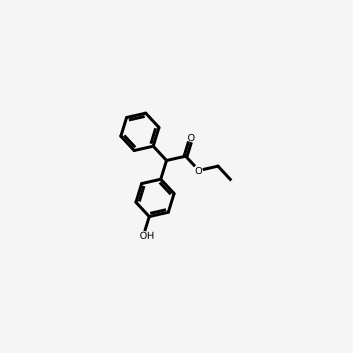 CCOC(=O)C(c1ccccc1)c1ccc(O)cc1